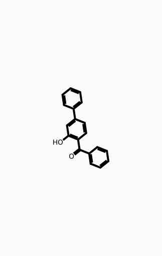 O=C(c1ccccc1)c1ccc(-c2ccccc2)cc1O